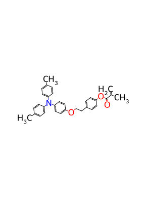 C=C(C)C(=O)Oc1ccc(CCOc2ccc(N(c3ccc(C)cc3)c3ccc(C)cc3)cc2)cc1